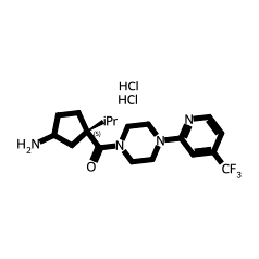 CC(C)[C@]1(C(=O)N2CCN(c3cc(C(F)(F)F)ccn3)CC2)CCC(N)C1.Cl.Cl